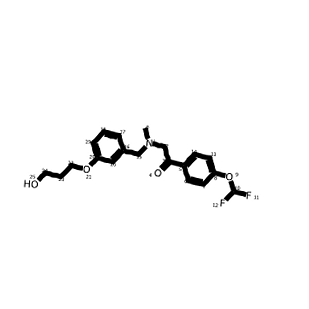 CN(CC(=O)c1ccc(OC(F)F)cc1)Cc1cccc(OCCCO)c1